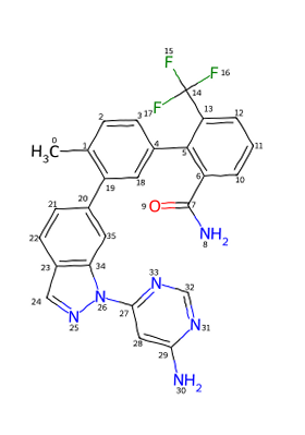 Cc1ccc(-c2c(C(N)=O)cccc2C(F)(F)F)cc1-c1ccc2cnn(-c3cc(N)ncn3)c2c1